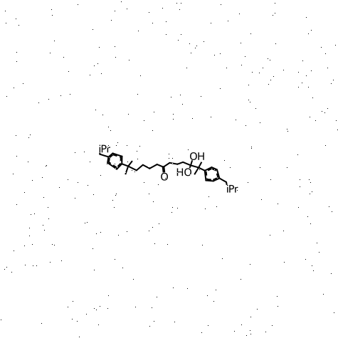 CC(C)Cc1ccc(C(C)(C)CCCCC(=O)CCCC(O)(O)C(C)(C)c2ccc(CC(C)C)cc2)cc1